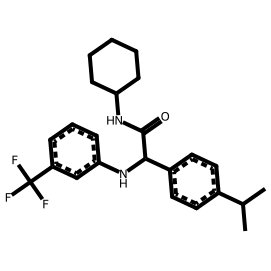 CC(C)c1ccc(C(Nc2cccc(C(F)(F)F)c2)C(=O)NC2CCCCC2)cc1